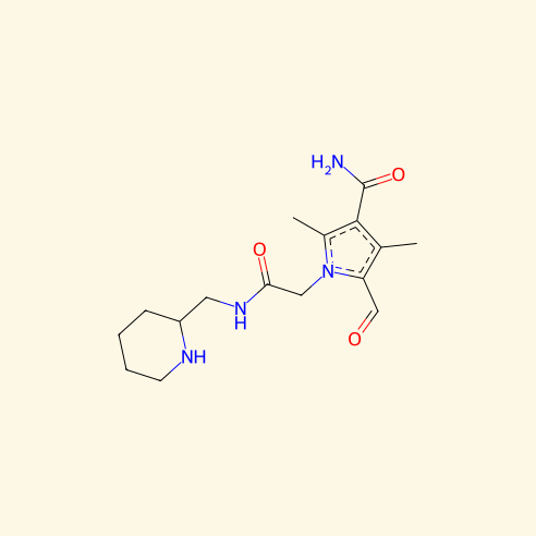 Cc1c(C(N)=O)c(C)n(CC(=O)NCC2CCCCN2)c1C=O